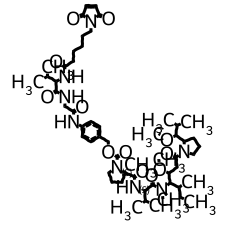 CCC(C)C(C(CC(=O)N1CCCC1C(OC)C(C)C)OC)N(C)C(=O)[C@@H](NC(=O)[C@]1(C)CCCN1C(=O)OCc1ccc(NC(=O)CNC(=O)C(NC(=O)CCCCCN2C(=O)C=CC2=O)C(C)C)cc1)C(C)C